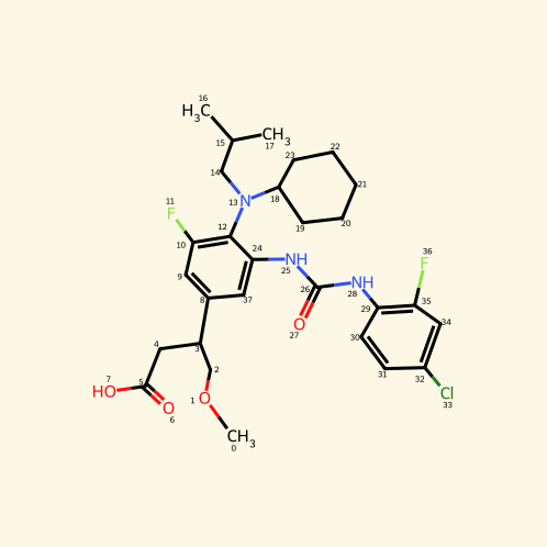 COCC(CC(=O)O)c1cc(F)c(N(CC(C)C)C2CCCCC2)c(NC(=O)Nc2ccc(Cl)cc2F)c1